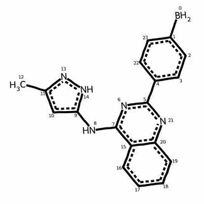 Bc1ccc(-c2nc(Nc3cc(C)n[nH]3)c3ccccc3n2)cc1